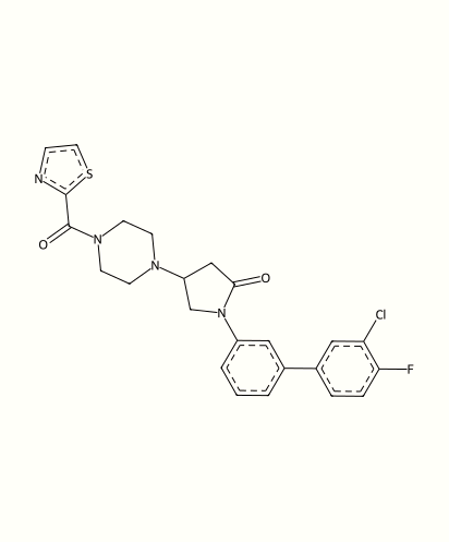 O=C(c1nccs1)N1CCN(C2CC(=O)N(c3cccc(-c4ccc(F)c(Cl)c4)c3)C2)CC1